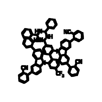 N#Cc1ccccc1-c1ccc2c(c1)c1cc(-c3ccccc3C#N)ccc1n2-c1cc(C2NC(c3ccccc3)NC(c3ccccc3)N2)ccc1-c1ccc(C(F)(F)F)cc1-n1c2ccc(-c3ccccc3C#N)cc2c2cc(-c3ccccc3C#N)ccc21